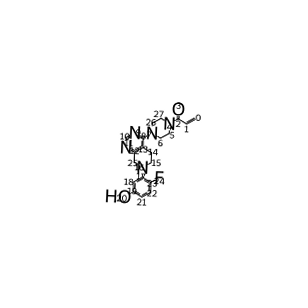 C=CC(=O)N1CCN(c2ncnc3c2CCN(c2cc(O)ccc2F)C3)CC1